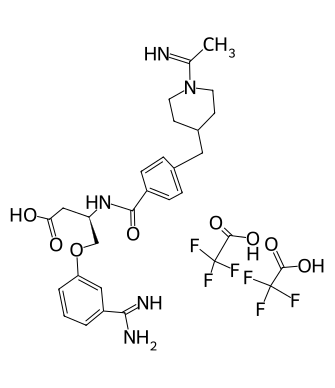 CC(=N)N1CCC(Cc2ccc(C(=O)N[C@@H](COc3cccc(C(=N)N)c3)CC(=O)O)cc2)CC1.O=C(O)C(F)(F)F.O=C(O)C(F)(F)F